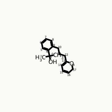 CC(C)(O)c1ccccc1CCCC1=CC=CCO1